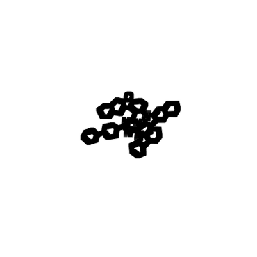 c1ccc(-c2ccc(-c3nc(-c4c(-n5c6ccccc6c6cc7ccccc7cc65)ccc5oc6cc7ccccc7cc6c45)nc(-n4c5ccccc5c5ccccc54)n3)cc2)cc1